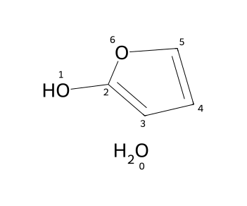 O.Oc1ccco1